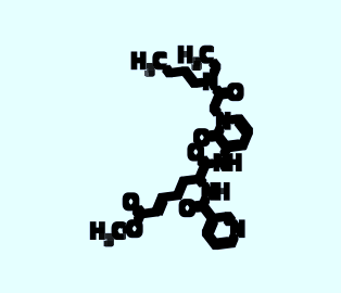 CCCCN(CC)C(=O)Cn1cccc(NC(=O)C(CCC=CC(=O)OC)NC(=O)c2cccnc2)c1=O